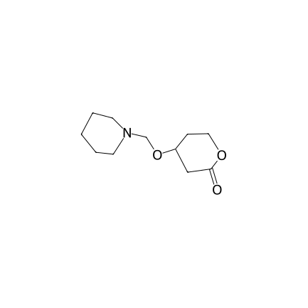 O=C1CC(OCN2CCCCC2)CCO1